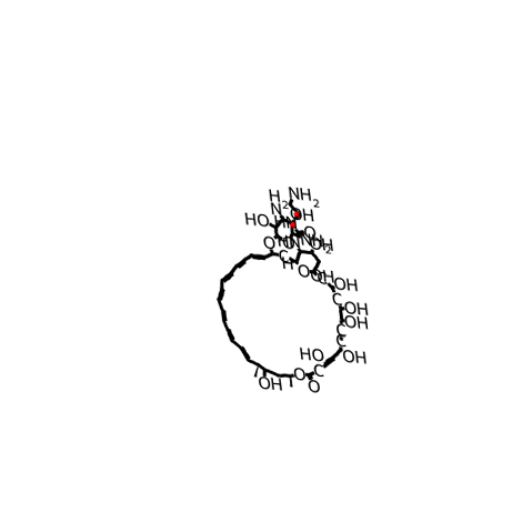 C[C@H]1CC(O)[C@@H](C)/C=C/C=C/C=C/C=C/C=C/C=C/C=C/C(OC2OC(N)C(O)C(N)C2O)C[C@@H]2OC(O)(CC(O)CC(O)C(O)CCC(O)/C=C(\O)CC(=O)O1)CC(O)C2NC(=O)NCCN